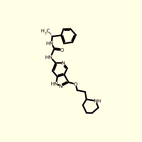 C[C@@H](NC(=O)Nc1cc2[nH]nc(OCCC3CCCCN3)c2cn1)c1ccccc1